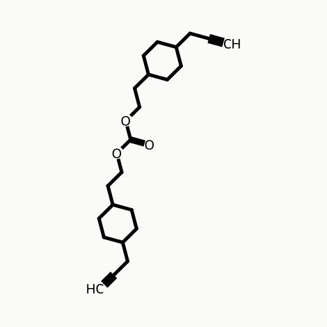 C#CCC1CCC(CCOC(=O)OCCC2CCC(CC#C)CC2)CC1